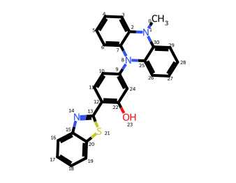 CN1c2ccccc2N(c2ccc(-c3nc4ccccc4s3)c(O)c2)c2ccccc21